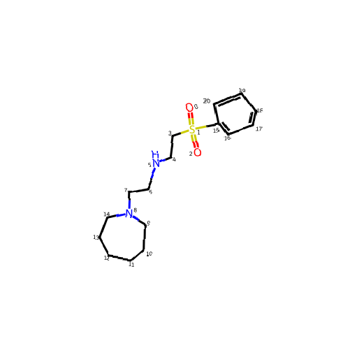 O=S(=O)(CCNCCN1CCCCCC1)c1ccccc1